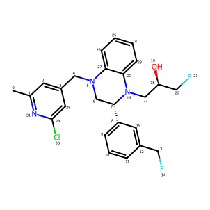 Cc1cc(CN2C[C@@H](c3cccc(CF)c3)N(C[C@@H](O)CF)c3ccccc32)cc(Cl)n1